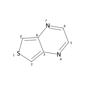 [c]1scc2nccnc12